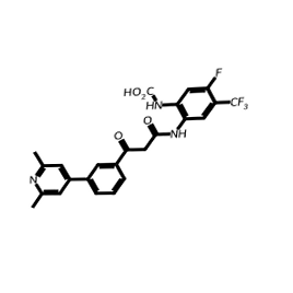 Cc1cc(-c2cccc(C(=O)CC(=O)Nc3cc(C(F)(F)F)c(F)cc3NC(=O)O)c2)cc(C)n1